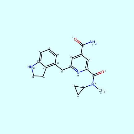 CN(C(=O)c1cc(C(N)=O)cc(Cc2cccc3c2CCN3)n1)C1CC1